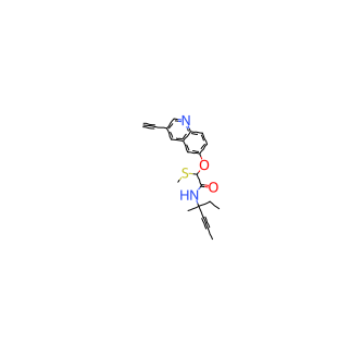 C#Cc1cnc2ccc(OC(SC)C(=O)NC(C)(C#CC)CC)cc2c1